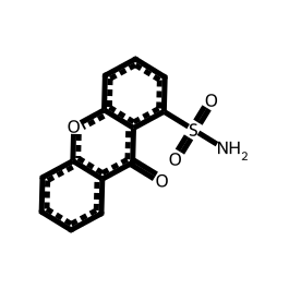 NS(=O)(=O)c1cccc2oc3ccccc3c(=O)c12